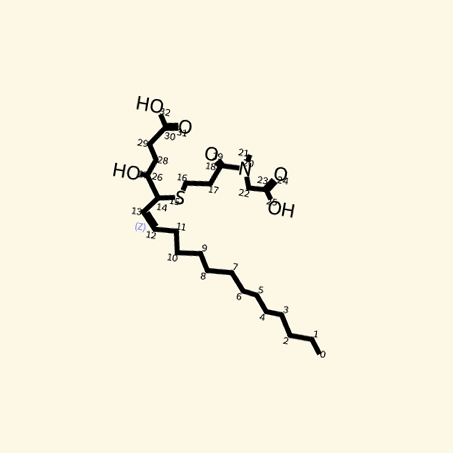 CCCCCCCCCCCC/C=C\C(SCCC(=O)N(C)CC(=O)O)C(O)CCC(=O)O